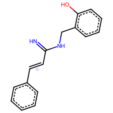 N=C(/C=C/c1ccccc1)NCc1ccccc1O